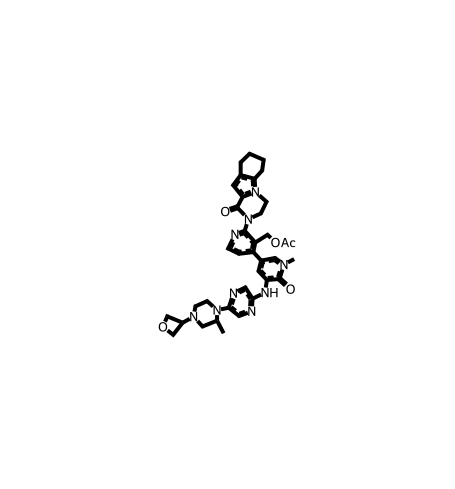 CC(=O)OCc1c(-c2cc(Nc3cnc(N4CCN(C5COC5)CC4C)cn3)c(=O)n(C)c2)ccnc1N1CCn2c(cc3c2CCCC3)C1=O